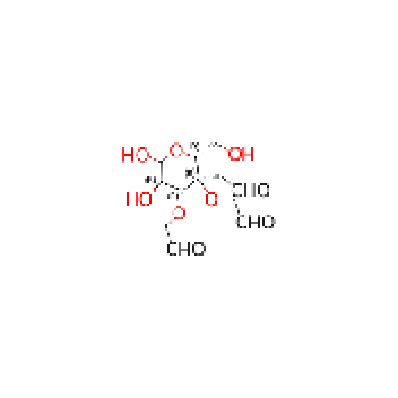 O=CCO[C@@H]1[C@@H](O)C(O)O[C@H](CO)[C@@]1(CC=O)OCC=O